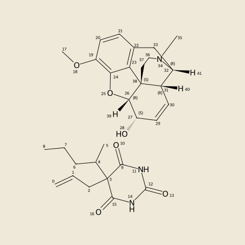 C=CCC1(C(C)CCC)C(=O)NC(=O)NC1=O.COc1ccc2c3c1O[C@H]1[C@@H](O)C=C[C@H]4[C@@H](C2)N(C)CC[C@@]341